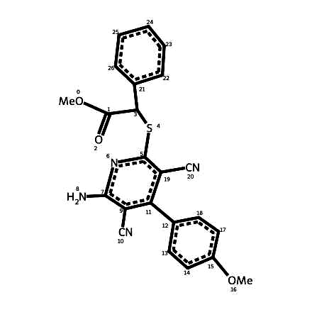 COC(=O)C(Sc1nc(N)c(C#N)c(-c2ccc(OC)cc2)c1C#N)c1ccccc1